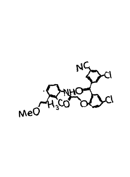 COCCc1[c]ccc(NC(=O)COc2ccc(Cl)cc2C(=O)c2cc(Cl)cc(C#N)c2)c1C